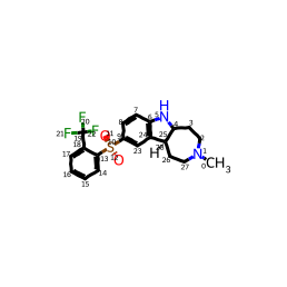 CN1CCC2Nc3ccc(S(=O)(=O)c4ccccc4C(F)(F)F)cc3[C@@H]2CC1